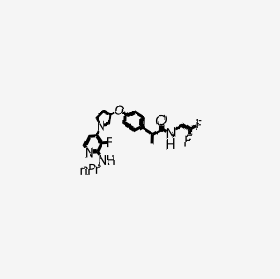 CCCNc1nccc(N2CCC(Oc3ccc(C(C)C(=O)NCC(F)F)cc3)C2)c1F